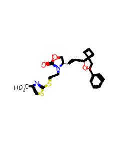 O=C(O)c1csc(SCCN2C(=O)OC[C@@H]2/C=C/[C@@H](O)C2(CCc3ccccc3)CCC2)n1